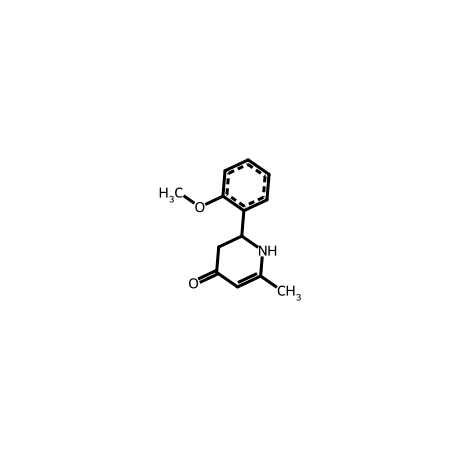 COc1ccccc1C1CC(=O)C=C(C)N1